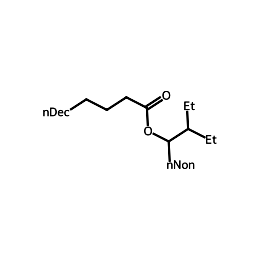 CCCCCCCCCCCCCC(=O)OC(CCCCCCCCC)C(CC)CC